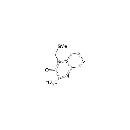 CSCn1c(=O)c(C(=O)O)nc2ccccc21